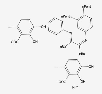 CCCCCc1ccc(N=C(CCCC)C(CCCC)=Nc2ccccc2)cc1CCCCC.Cc1ccc(O)c(O)c1C(=O)[O-].Cc1ccc(O)c(O)c1C(=O)[O-].[Ni+2]